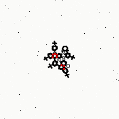 CC(C)(C)c1ccc(N(c2ccc(C(C)(C)C)cc2)c2cc3c4c(c2)N2c5c(cc(C(C)(C)C)cc5C5(C)CCCCC25C)B4c2cc4oc5cc(C(C)(C)C)ccc5c4cc2N3c2c(-c3ccccc3)cc(C(C)(C)C)cc2-c2ccccc2)cc1